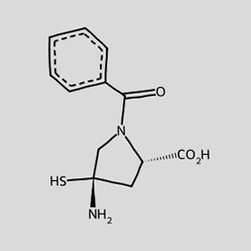 N[C@]1(S)C[C@@H](C(=O)O)N(C(=O)c2ccccc2)C1